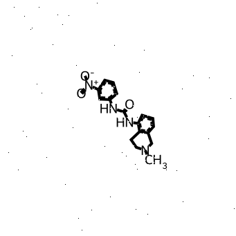 CN1CCc2c(cccc2NC(=O)Nc2cccc([N+](=O)[O-])c2)C1